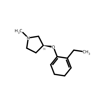 CCC1=CCCC=C1O[C@H]1CCN(C)C1